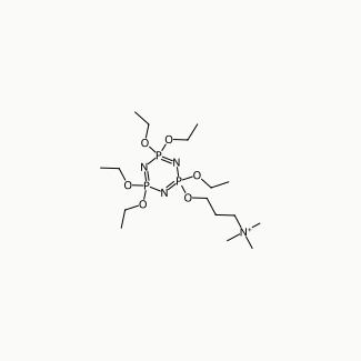 CCOP1(OCC)=NP(OCC)(OCC)=NP(OCC)(OCCC[N+](C)(C)C)=N1